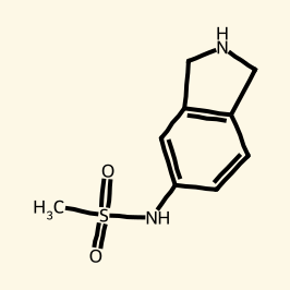 CS(=O)(=O)Nc1ccc2c(c1)CNC2